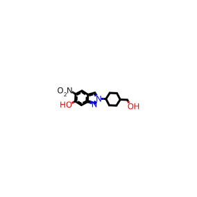 O=[N+]([O-])c1cc2cn(C3CCC(CO)CC3)nc2cc1O